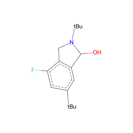 CC(C)(C)c1cc(F)c2c(c1)C(O)N(C(C)(C)C)C2